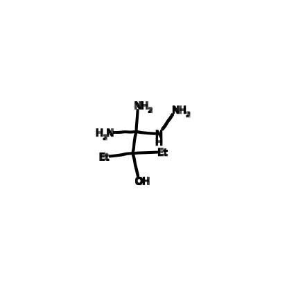 CCC(O)(CC)C(N)(N)NN